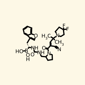 CC(C)(C=C(C#N)C(=O)N1CCCC1CNC(=O)N[C@@H](Cc1coc2ccccc12)B(O)O)N1CCC(F)(F)CC1